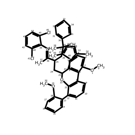 COc1ccccc1-c1cccc(-c2ccccc2OC)c1OC(CC(CC(C)(C)c1ccccc1)/C(C)=N/c1c(Cl)cccc1Cl)Cn1c(C)ccc1C